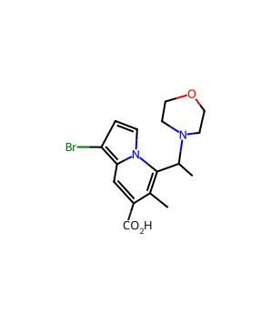 Cc1c(C(=O)O)cc2c(Br)ccn2c1C(C)N1CCOCC1